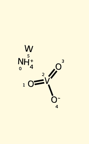 [NH4+].[O]=[V](=[O])[O-].[W]